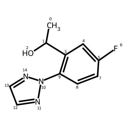 CC(O)c1cc(F)ccc1-n1nccn1